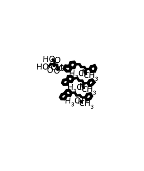 CN(C)C(CCCc1ccc2ccccc2c1)c1ccccc1.CN(C)C(CCCc1ccc2ccccc2c1)c1ccccc1.CN(C)C(CCCc1ccc2ccccc2c1)c1ccccc1.O=C(O)CC(O)(CC(=O)O)C(=O)O